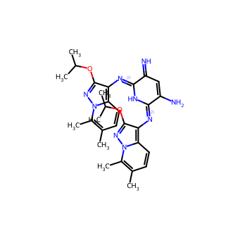 Cc1ccc2c(/N=C3\N/C(=N\c4c(OC(C)C)nn5c(C)c(C)ccc45)C(N)=CC3=N)c(OC(C)C)nn2c1C